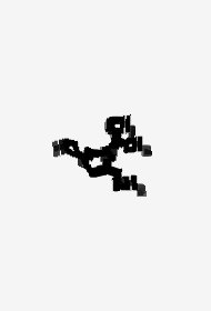 CC(C)n1cncc1CN.Cl